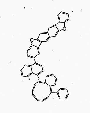 c1ccc(-c2ccccccc(-c3ccc(-c4ccc5oc6cc7cc8c(cc7cc6c5c4)oc4ccccc48)c4ccccc34)c3ccccc23)cc1